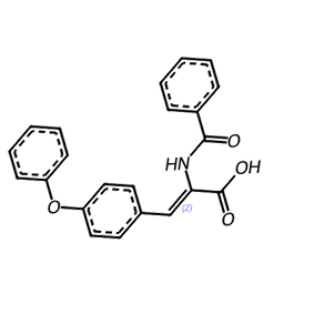 O=C(O)/C(=C/c1ccc(Oc2ccccc2)cc1)NC(=O)c1ccccc1